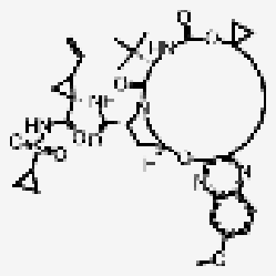 C=CC1C[C@]1(NC(=O)[C@@H]1C[C@@H]2CN1C(=O)[C@H](C(C)(C)C)NC(=O)OC1(CCCCCc3nc4ccc(OC)cc4nc3O2)CC1)C(=O)NS(=O)(=O)C1CC1